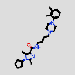 Cc1cccc(N2CCN(CCCCNC(=O)c3nc(C)n(C4CCCC4)c3C)CC2)c1C